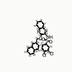 O=S(=O)(Nc1nc2ccccc2nc1OCc1ccc2ccccc2c1)c1ccc(Cl)c(Cl)c1